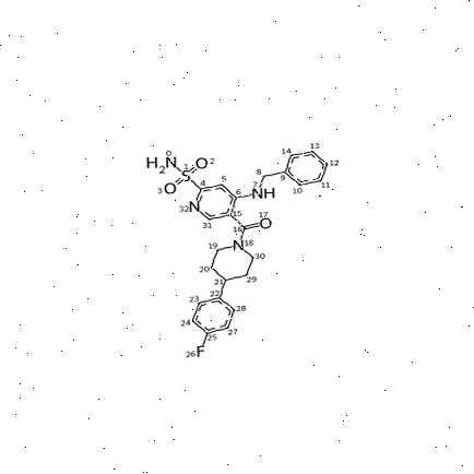 NS(=O)(=O)c1cc(NCc2ccccc2)c(C(=O)N2CCC(c3ccc(F)cc3)CC2)cn1